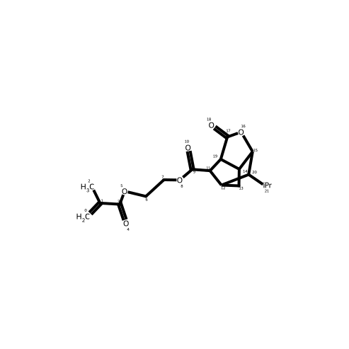 C=C(C)C(=O)OCCOC(=O)C1C2CC3C(OC(=O)C31)C2C(C)C